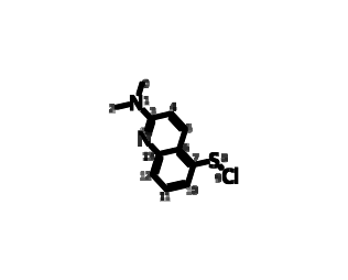 CN(C)c1ccc2c(SCl)cccc2n1